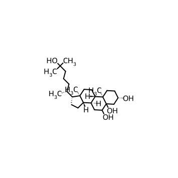 C[C@H](CCCC(C)(C)O)[C@H]1CC[C@H]2[C@@H]3CC(O)C4(O)C[C@@H](O)CC[C@]4(C)[C@H]3CC[C@]12C